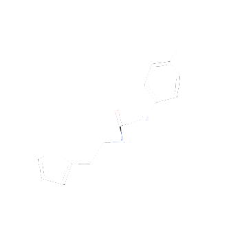 Cc1ccc(NC(=O)NCCc2cccs2)cc1